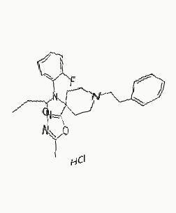 CCC(=O)N(c1ccccc1F)C1(c2nnc(C)o2)CCN(CCc2ccccc2)CC1.Cl